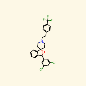 FC(F)(F)c1ccc(CCN2CCC3(CC2)OC(c2cc(Cl)cc(Cl)c2)c2ccccc23)cc1